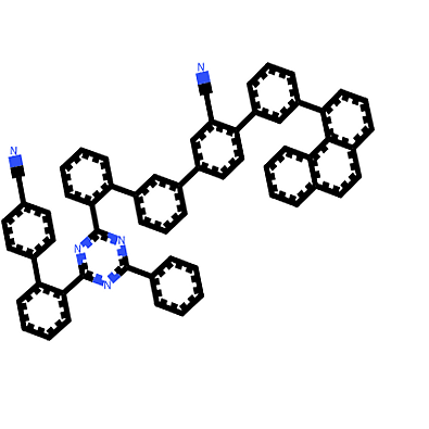 N#Cc1ccc(-c2ccccc2-c2nc(-c3ccccc3)nc(-c3ccccc3-c3cccc(-c4ccc(-c5cccc(-c6cccc7ccc8ccccc8c67)c5)c(C#N)c4)c3)n2)cc1